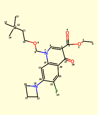 CCOC(=O)c1cn(COCC[Si](C)(C)C)c2cc(N3CCC3)c(F)cc2c1=O